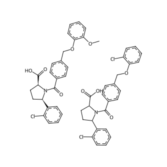 COc1ccccc1OCc1ccc(C(=O)N2[C@@H](c3ccccc3Cl)CC[C@H]2C(=O)O)cc1.O=C(O)C1CCC(c2ccccc2Cl)N1C(=O)c1ccc(COc2ccccc2Cl)cc1